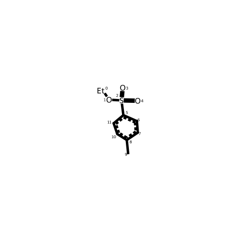 [CH2]COS(=O)(=O)c1ccc(C)cc1